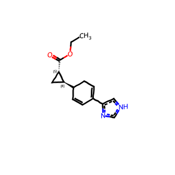 CCOC(=O)[C@H]1C[C@@H]1C1C=CC(c2c[nH]cn2)=CC1